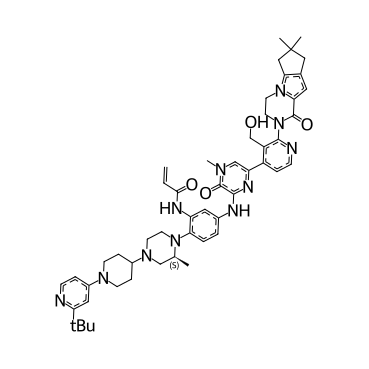 C=CC(=O)Nc1cc(Nc2nc(-c3ccnc(N4CCn5c(cc6c5CC(C)(C)C6)C4=O)c3CO)cn(C)c2=O)ccc1N1CCN(C2CCN(c3ccnc(C(C)(C)C)c3)CC2)C[C@@H]1C